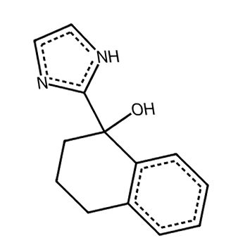 OC1(c2ncc[nH]2)CCCc2ccccc21